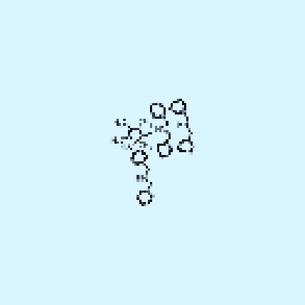 CC1=C(C)C(C)(C)[C]([Ti])=C1C.c1ccc(CNCc2ccccc2)cc1.c1ccc(CNCc2ccccc2)cc1.c1ccc(CNCc2ccccc2)cc1